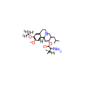 [2H]C([2H])([2H])Oc1cc2c(cc1OC)C1([2H])CC(OC(=O)[C@@H](N)C([2H])(C)C)C(CC(C)C)CN1CC2